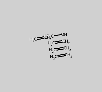 C=C.C=C.C=C.C=C.O=C(O)O